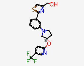 OCc1csc(-c2cccc(N3CC[C@H](Oc4ccc(C(F)(F)F)cn4)C3)c2)n1